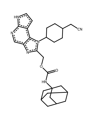 N#CCC1CCC(n2c(COC(=O)NC34CC5CC(CC(C5)C3)C4)nc3cnc4[nH]ccc4c32)CC1